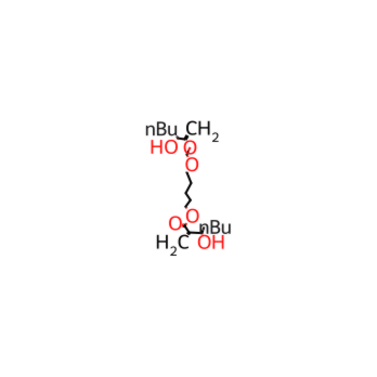 C=C(OCOCCCCCOC(=O)C(=C)C(O)CCCC)C(O)CCCC